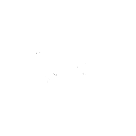 Cc1cccc(NC(=O)NCc2cccc(-c3n[nH]cc3-c3ccncc3)c2)c1